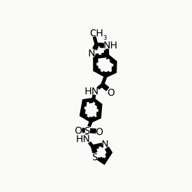 Cc1nc2cc(C(=O)Nc3ccc(S(=O)(=O)Nc4nccs4)cc3)ccc2[nH]1